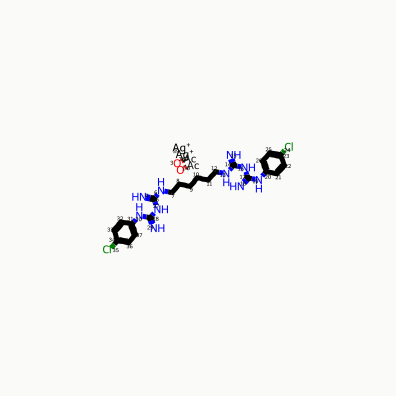 CC(=O)[O-].CC(=O)[O-].N=C(NCCCCCCNC(=N)NC(=N)Nc1ccc(Cl)cc1)NC(=N)Nc1ccc(Cl)cc1.[Ag+].[Ag+]